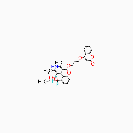 CCOC(=O)C1=C(C)NC(C)=C(C(=O)OCCCOc2cc(=O)oc3ccccc23)C1c1ccccc1C(F)(F)F